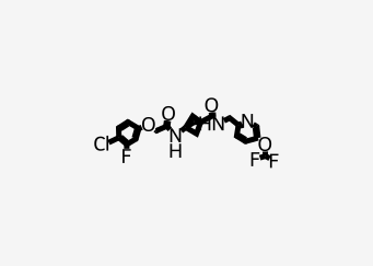 O=C(COc1ccc(Cl)c(F)c1)NC12CC(C(=O)NCc3ccc(OC(F)F)cn3)(C1)C2